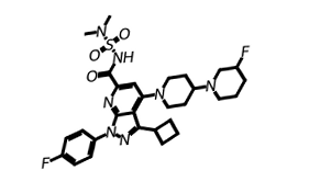 CN(C)S(=O)(=O)NC(=O)c1cc(N2CCC(N3CCCC(F)C3)CC2)c2c(C3CCC3)nn(-c3ccc(F)cc3)c2n1